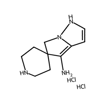 Cl.Cl.NC1=C2C=CNN2CC12CCNCC2